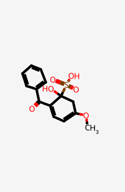 COC1=CC=C(C(=O)c2ccccc2)C(O)(S(=O)(=O)O)C1